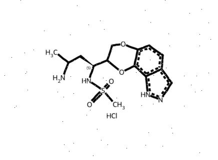 CC(N)C[C@H](NS(C)(=O)=O)C1COc2ccc3cn[nH]c3c2O1.Cl